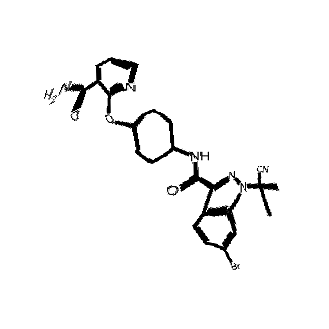 CC(C)(C#N)n1nc(C(=O)NC2CCC(Oc3ncccc3C(N)=O)CC2)c2ccc(Br)cc21